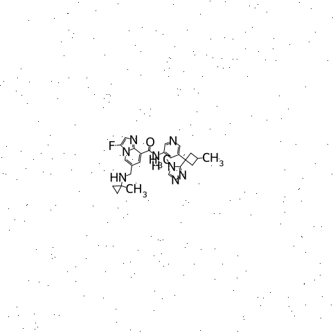 CC1CC(c2cncc(NC(=O)c3cc(CNC4(C)CC4)cn4c(F)cnc34)c2)(c2nncn2C)C1